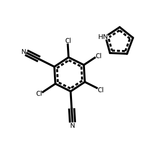 N#Cc1c(Cl)c(Cl)c(Cl)c(C#N)c1Cl.c1cc[nH]c1